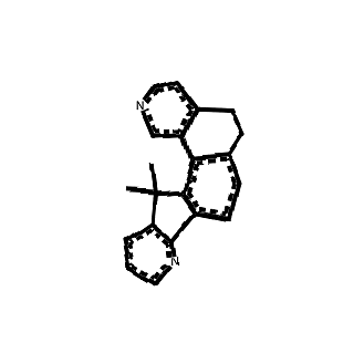 CC1(C)c2cccnc2-c2ccc3c(c21)-c1cnccc1CC3